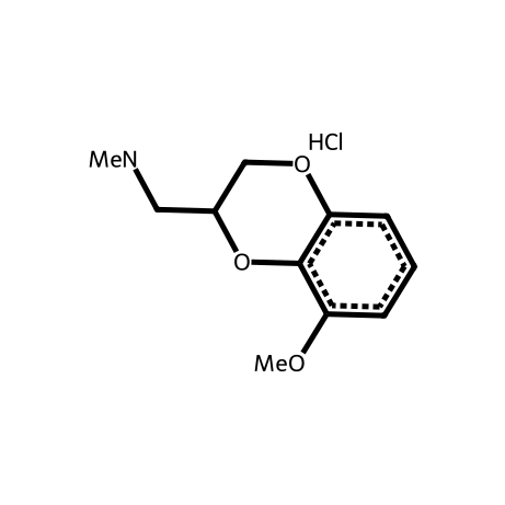 CNCC1COc2cccc(OC)c2O1.Cl